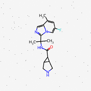 Cc1cc(F)cn2c(C(C)(C)NC(=O)C3C4CNCC43)ncc12